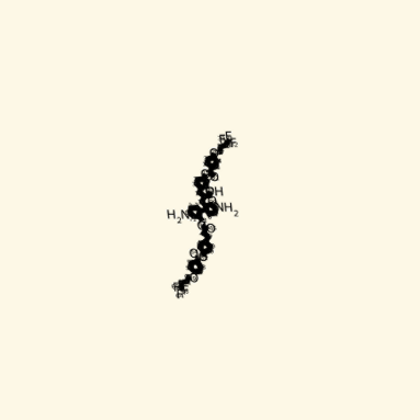 Nc1ccc(-c2ccc(N)cc2CC(=Cc2ccc(OC(=O)c3ccc(OCCCC(F)(F)F)cc3)cc2)C(=O)O)c(COC(=O)C=Cc2ccc(OC(=O)c3ccc(OCCCC(F)(F)F)cc3)cc2)c1